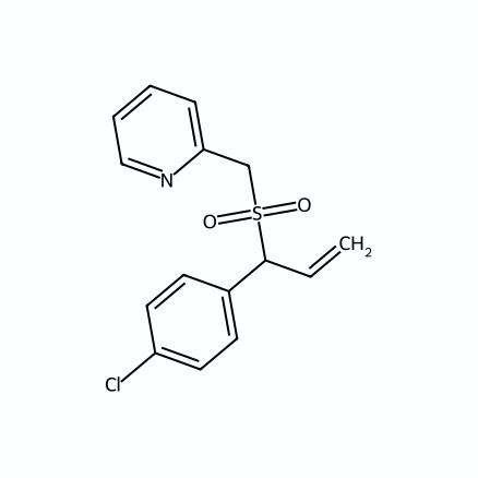 C=CC(c1ccc(Cl)cc1)S(=O)(=O)Cc1ccccn1